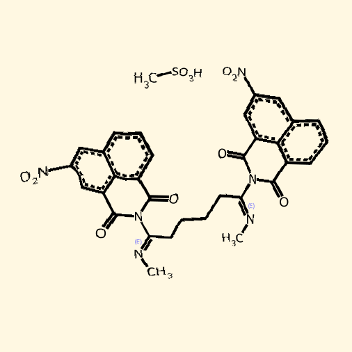 C/N=C(\CCCC/C(=N\C)N1C(=O)c2cccc3cc([N+](=O)[O-])cc(c23)C1=O)N1C(=O)c2cccc3cc([N+](=O)[O-])cc(c23)C1=O.CS(=O)(=O)O